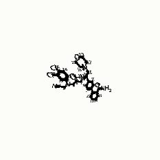 N#CCN(CC(=O)CNC(CN1CCOCC1)c1ccc(-c2ccccc2C(N)=O)cc1)c1ccc(Cl)c(Cl)c1